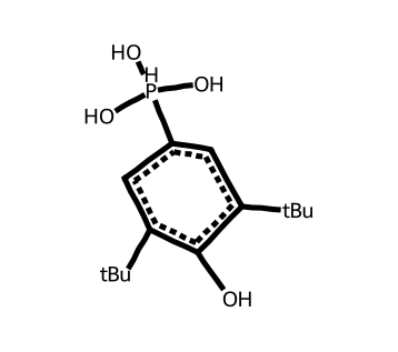 CC(C)(C)c1cc([PH](O)(O)O)cc(C(C)(C)C)c1O